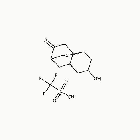 O=C1CN2C3CC(O)CC2CC1C3.O=S(=O)(O)C(F)(F)F